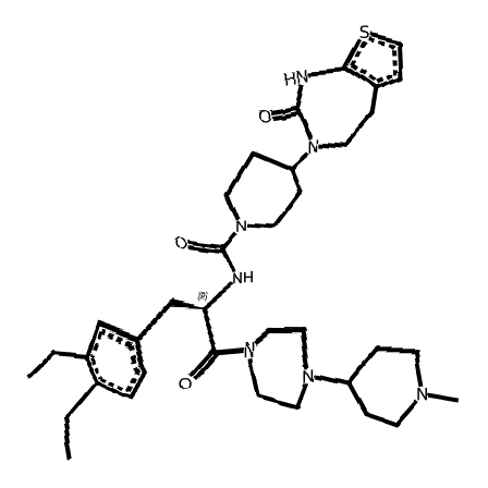 CCc1ccc(C[C@@H](NC(=O)N2CCC(N3CCc4ccsc4NC3=O)CC2)C(=O)N2CCN(C3CCN(C)CC3)CC2)cc1CC